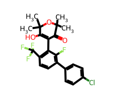 CC1(C)OC(C)(C)C(O)=C(c2c(C(F)(F)F)ccc(-c3ccc(Cl)cc3)c2F)C1=O